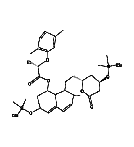 CC[C@H](Oc1cc(C)ccc1C)C(=O)OC1CC(O[Si](C)(C)C(C)(C)C)C=C2C=CC(C)C(CC[C@@H]3C[C@@H](O[Si](C)(C)C(C)(C)C)CC(=O)O3)C21